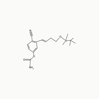 CC(C)(C)[Si](C)(C)OCCC=Cc1cc(OC(N)=O)ccc1C#N